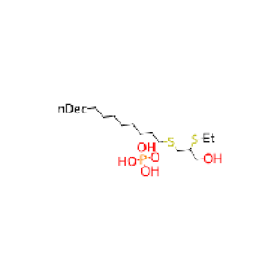 CCCCCCCCCCCCCCCCCCSCC(CO)SCC.O=P(O)(O)O